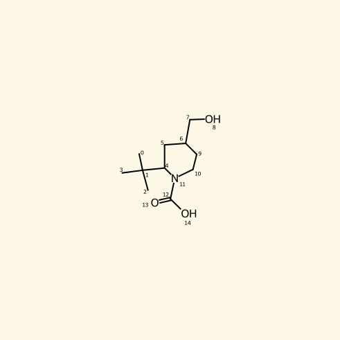 CC(C)(C)C1CC(CO)CCN1C(=O)O